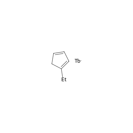 CCC1=CC=CC1.[Tb]